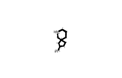 CC(C)C1CCC2(CCCNC2)C1